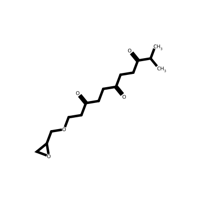 CC(C)C(=O)CCC(=O)CCC(=O)CCOCC1CO1